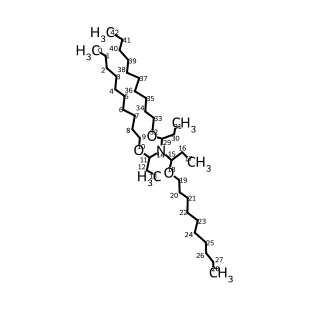 CCCCCCCCCCOC(CC)N(C(CC)OCCCCCCCCCC)C(CC)OCCCCCCCCCC